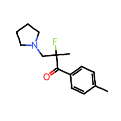 Cc1ccc(C(=O)C(C)(F)CN2CCCC2)cc1